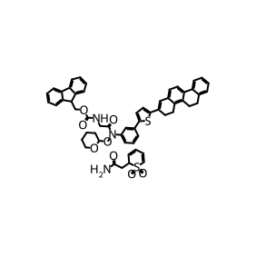 NC(=O)CC1C=CC=CS1(=O)=O.O=C(NCC(=O)N(OC1CCCCO1)c1cccc(-c2ccc(C3=Cc4ccc5c(c4CC3)CCc3ccccc3-5)s2)c1)OCC1c2ccccc2-c2ccccc21